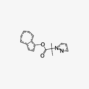 CC(C)(C(=O)Oc1ccc2cccccc1-2)n1cccn1